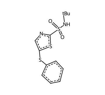 CC(C)(C)NS(=O)(=O)c1ncc(Sc2ccccc2)s1